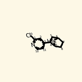 Clc1cc(C2CC3CCC2N3)ccn1